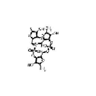 B[C@@H]1O[C@H](CO)C(OP(=O)(O)OC[C@H]2O[C@@H](B)[C@@H](O)C2OP(=O)(O)OC[C@H]2O[C@@H](C)[C@@H](O)C2O)[C@@H]1O